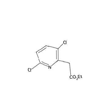 CCOC(=O)Cc1nc(Cl)ccc1Cl